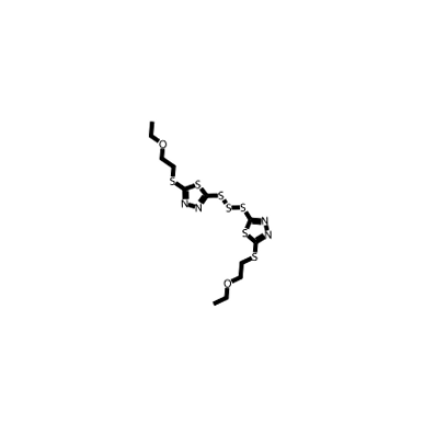 CCOCCSc1nnc(SSSc2nnc(SCCOCC)s2)s1